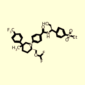 CCS(=O)(=O)c1ccc([C@H](CO)NC(=O)c2ccc(N3CC(C)(c4ccc(C(F)(F)F)cc4)CC[C@H]3COC(F)F)cc2)cc1